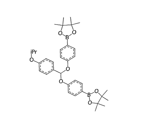 CC(C)Oc1ccc(C(Oc2ccc(B3OC(C)(C)C(C)(C)O3)cc2)Oc2ccc(B3OC(C)(C)C(C)(C)O3)cc2)cc1